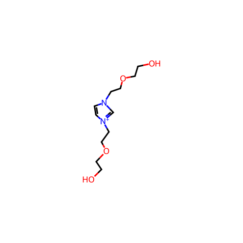 OCCOCCn1cc[n+](CCOCCO)c1